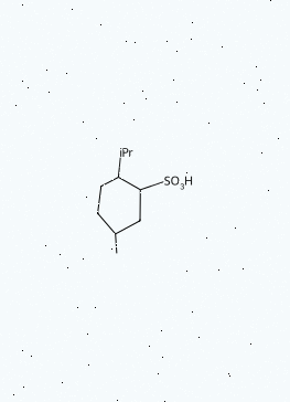 CC1CCC(C(C)C)C(S(=O)(=O)O)C1